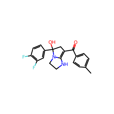 Cc1ccc(C(=O)C2=C3NCCN3C(O)(c3ccc(F)c(F)c3)C2)cc1